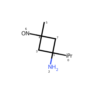 CC(C)C1(N)CC(C)(N=O)C1